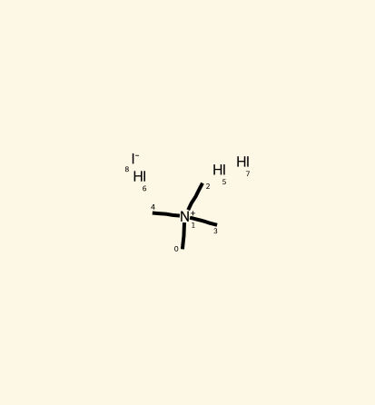 C[N+](C)(C)C.I.I.I.[I-]